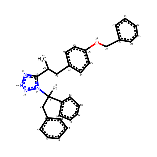 CCC(Cc1ccccc1)(c1ccccc1)n1nnnc1C(C)Cc1ccc(OCc2ccccc2)cc1